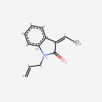 C=CCN1C(=O)C(=C[N+](=O)[O-])c2ccccc21